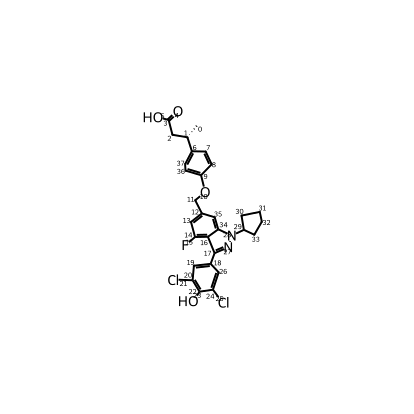 C[C@@H](CC(=O)O)c1ccc(OCc2cc(F)c3c(-c4cc(Cl)c(O)c(Cl)c4)nn(C4CCCC4)c3c2)cc1